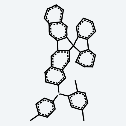 Cc1ccc(N(c2ccc3cc4c(cc3c2)C2(c3ccccc3-c3ccccc32)c2cc3ccccc3cc2-4)c2cc(C)ccc2C)cc1